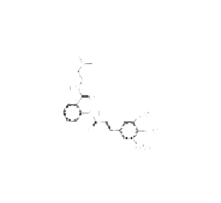 COc1cc(C=CC(=O)Nc2ccccc2C(=O)NCCN(C)C)cc(OC)c1OC